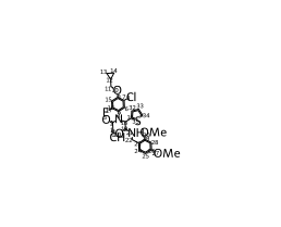 C#CC(=O)N(c1cc(Cl)c(OCC2CC2)cc1F)C(C(=O)NCc1ccc(OC)cc1OC)c1cccs1